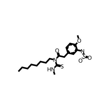 CCCCCCCCN(C(=O)Cc1ccc(OC)c(N=S(=O)=O)c1)C(=S)NC